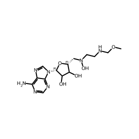 COCNCCN(O)C[C@H]1O[C@@H](n2cnc3c(N)ncnc32)C(O)C1O